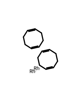 C1=CCCC=CCC1.C1=CCCC=CCC1.[Rh].[Rh]